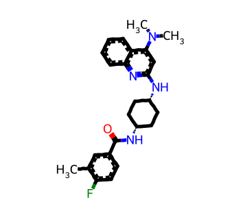 Cc1cc(C(=O)N[C@H]2CC[C@@H](Nc3cc(N(C)C)c4ccccc4n3)CC2)ccc1F